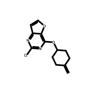 C=C1CCC(Oc2nc(Cl)nc3ccoc23)CC1